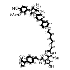 COc1c(C#N)ccc(N2C(=O)C(C)(C)N(c3ccc(-c4ccc(OCCCCOCC(=O)N[C@H](C(=O)N5C[C@H](O)C[C@H]5C(=O)NCc5ccc(-c6scnc6C)cc5)C(C)(C)C)cc4)nc3)C2S)c1F